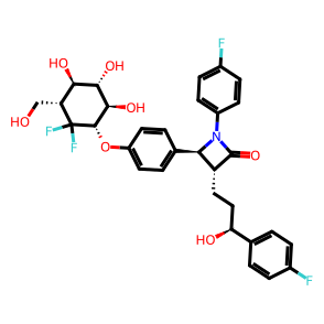 O=C1[C@H](CC[C@H](O)c2ccc(F)cc2)[C@@H](c2ccc(O[C@H]3[C@H](O)[C@@H](O)[C@H](O)[C@@H](CO)C3(F)F)cc2)N1c1ccc(F)cc1